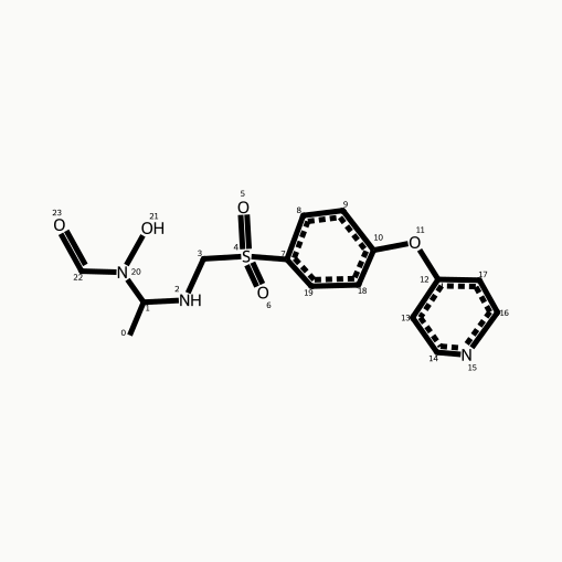 CC(NCS(=O)(=O)c1ccc(Oc2ccncc2)cc1)N(O)C=O